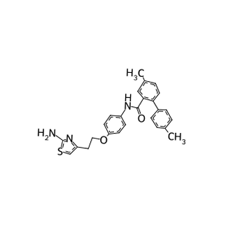 Cc1ccc(-c2ccc(C)cc2C(=O)Nc2ccc(OCCc3csc(N)n3)cc2)cc1